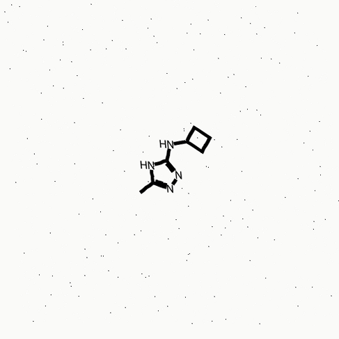 Cc1nnc(NC2CCC2)[nH]1